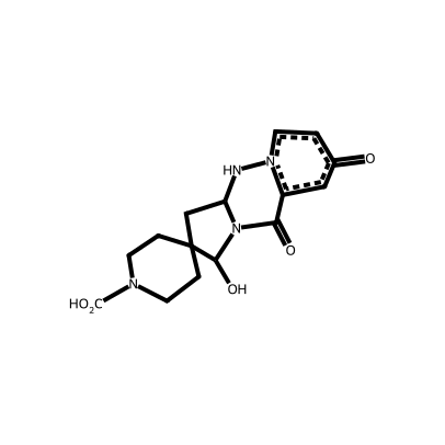 O=C(O)N1CCC2(CC1)CC1Nn3ccc(=O)cc3C(=O)N1C2O